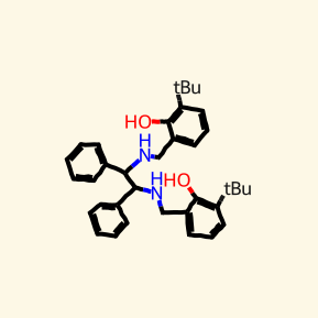 CC(C)(C)c1cccc(CNC(c2ccccc2)C(NCc2cccc(C(C)(C)C)c2O)c2ccccc2)c1O